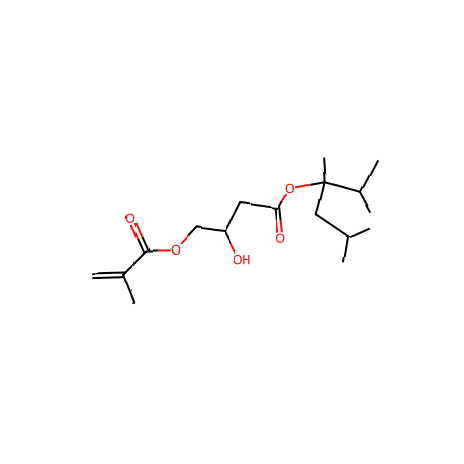 C=C(C)C(=O)OCC(O)CC(=O)OC(C)(CC(C)C)C(C)C